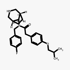 CC(C)COc1ccc(CC(=O)N(Cc2ccc(F)cc2)[C@H]2[C@@H]3CC[C@H]2CNC3)cc1